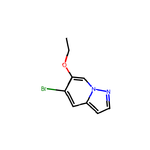 CCOc1cn2nccc2cc1Br